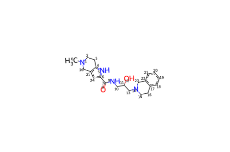 CN1CCc2[nH]c(C(=O)NCC(O)CN3CCc4ccccc4C3)cc2C1